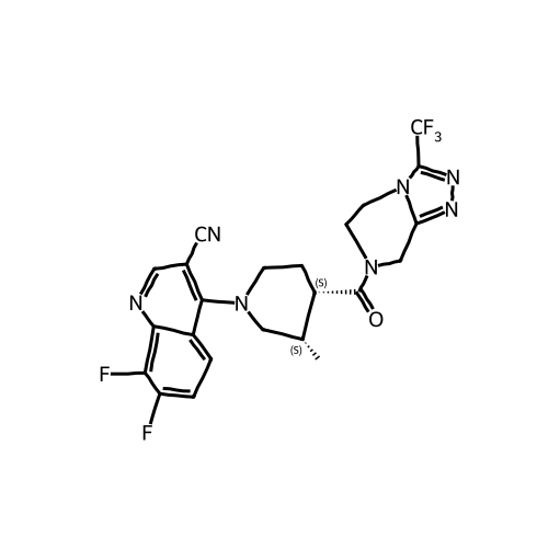 C[C@@H]1CN(c2c(C#N)cnc3c(F)c(F)ccc23)CC[C@@H]1C(=O)N1CCn2c(nnc2C(F)(F)F)C1